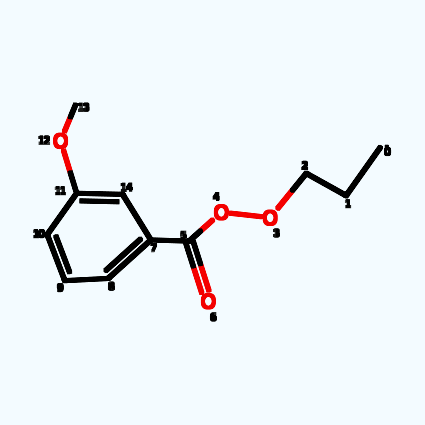 [CH2]CCOOC(=O)c1cccc(OC)c1